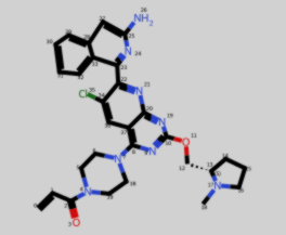 C=CC(=O)N1CCN(c2nc(OC[C@@H]3CCCN3C)nc3nc(-c4nc(N)cc5ccccc45)c(Cl)cc23)CC1